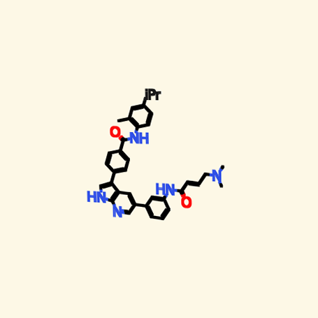 Cc1cc(C(C)C)ccc1NC(=O)c1ccc(-c2c[nH]c3ncc(-c4cccc(NC(=O)C=CCN(C)C)c4)cc23)cc1